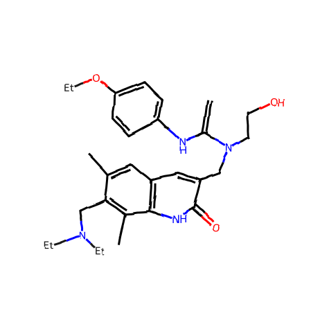 C=C(Nc1ccc(OCC)cc1)N(CCO)Cc1cc2cc(C)c(CN(CC)CC)c(C)c2[nH]c1=O